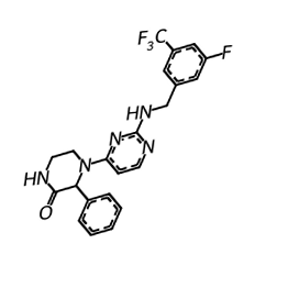 O=C1NCCN(c2ccnc(NCc3cc(F)cc(C(F)(F)F)c3)n2)C1c1ccccc1